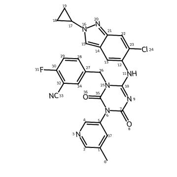 Cc1cncc(-n2c(=O)nc(Nc3cc4cn(C5CC5)nc4cc3Cl)n(Cc3ccc(F)c(C#N)c3)c2=O)c1